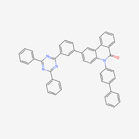 O=c1c2ccccc2c2cc(-c3cccc(-c4nc(-c5ccccc5)nc(-c5ccccc5)n4)c3)ccc2n1-c1ccc(-c2ccccc2)cc1